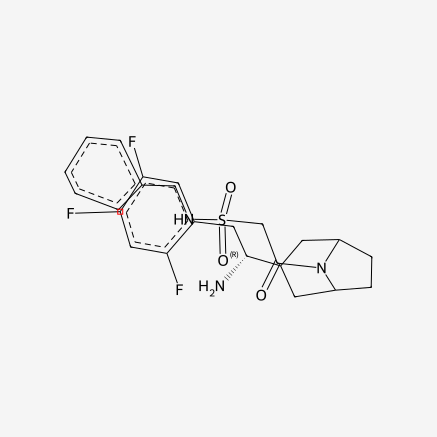 N[C@H](Cc1cc(F)c(F)cc1F)C1CC2CCC(C1)N2C(=O)CS(=O)(=O)NCc1ccccc1